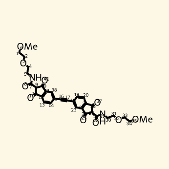 COCCOCCNC(=O)C1C(=O)c2ccc(C#Cc3ccc4c(c3)C(=O)C(C(=O)NCCOCCOC)C4=O)cc2C1=O